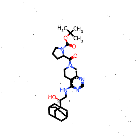 CC(C)(C)OC(=O)N1CCCC1C(=O)N1CCc2c(ncnc2NC[C@H](O)C23CC4CC(CC(C4)C2)C3)C1